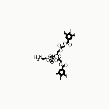 NCCOP(=O)(O)OC[C@@H](COC(=O)COC(=O)c1cc(I)c(I)c(I)c1)OC(=O)COC(=O)c1cc(I)c(I)c(I)c1